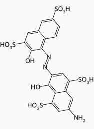 Nc1cc(S(=O)(=O)O)c2c(O)c(N=Nc3c(O)c(S(=O)(=O)O)cc4cc(S(=O)(=O)O)ccc34)cc(S(=O)(=O)O)c2c1